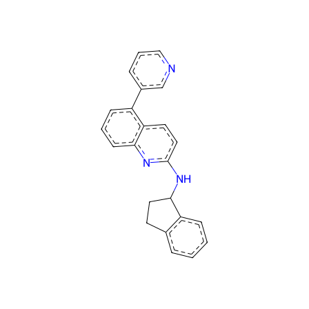 c1cncc(-c2cccc3nc(NC4CCc5ccccc54)ccc23)c1